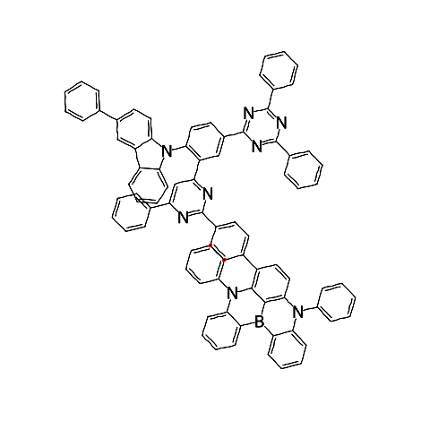 c1ccc(-c2ccc3c(c2)c2ccccc2n3-c2ccc(-c3nc(-c4ccccc4)nc(-c4ccccc4)n3)cc2-c2cc(-c3ccccc3)nc(-c3ccc(-c4ccc5c6c4N(c4ccccc4)c4ccccc4B6c4ccccc4N5c4ccccc4)cc3)n2)cc1